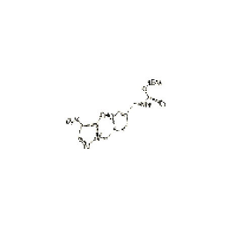 CC(C)(C)OC(=O)NCc1ccc(Cn2ncc([N+](=O)[O-])c2C=O)cc1